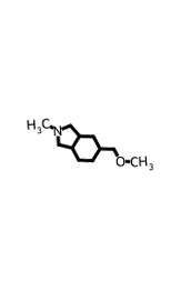 COCC1CCC2CN(C)CC2C1